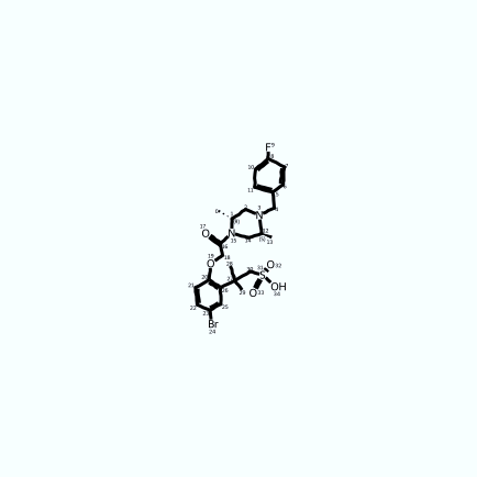 C[C@@H]1CN(Cc2ccc(F)cc2)[C@@H](C)CN1C(=O)COc1ccc(Br)cc1C(C)(C)CS(=O)(=O)O